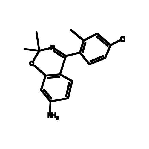 Cc1cc(Cl)ccc1C1=NC(C)(C)Oc2cc(N)ccc21